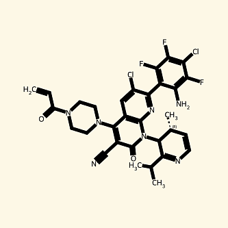 C=CC(=O)N1CCN(c2c(C#N)c(=O)n(C3C(C(C)C)=NC=C[C@H]3C)c3nc(-c4c(N)c(F)c(Cl)c(F)c4F)c(Cl)cc23)CC1